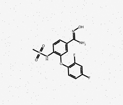 CS(=O)(=O)Nc1ccc(C(N)=NO)cc1Oc1ccc(F)cc1F